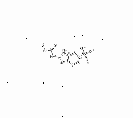 COC(=O)Nc1nc2ccc(S(=O)(=O)Cl)cc2[nH]1